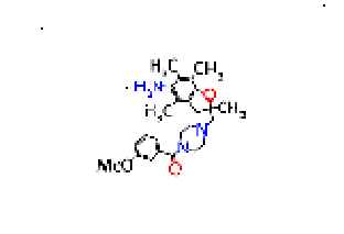 COc1cccc(C(=O)N2CCN(CC3(C)Cc4c(C)c(N)c(C)c(C)c4O3)CC2)c1